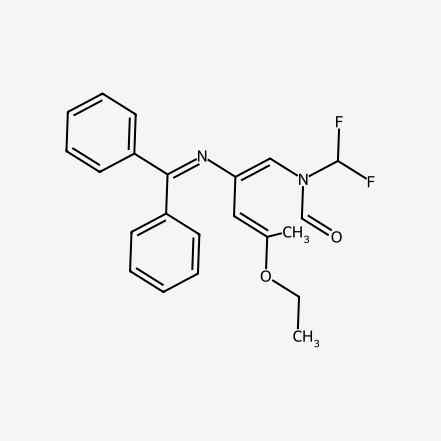 CCO/C(C)=C/C(=C\N(C=O)C(F)F)N=C(c1ccccc1)c1ccccc1